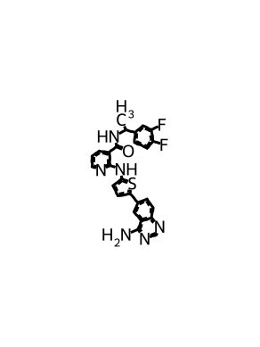 CC(NC(=O)c1cccnc1Nc1ccc(-c2ccc3ncnc(N)c3c2)s1)c1ccc(F)c(F)c1